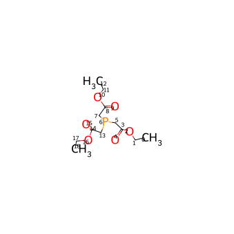 CCOC(=O)CP(CC(=O)OCC)CC(=O)OCC